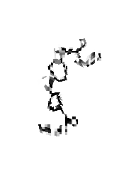 COC(=O)c1ccc(OC2CCC(NC(=O)OC(C)(C)C)CC2)cc1